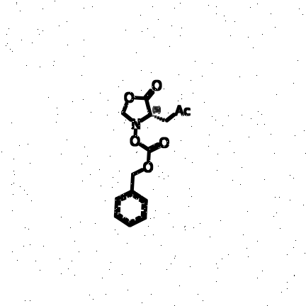 CC(=O)C[C@H]1C(=O)OCN1OC(=O)OCc1ccccc1